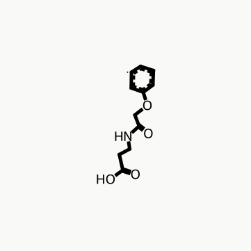 O=C(O)CCNC(=O)COc1c[c]ccc1